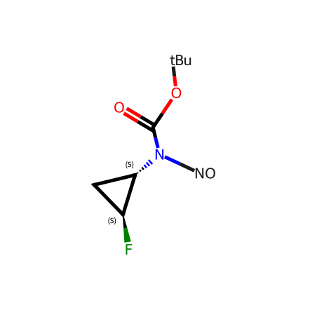 CC(C)(C)OC(=O)N(N=O)[C@H]1C[C@@H]1F